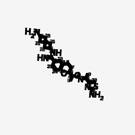 C/C(=N\OC(C)C1CCc2cc(C(=N)NC3CC4(CC(N)C4)C3)ccc2O1)c1csc(N)n1